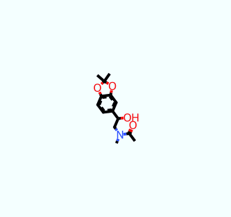 CC(=O)N(C)CC(O)c1ccc2c(c1)OC(C)(C)O2